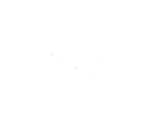 N#Cc1cccc(C(CC=C(F)F)n2cc(-c3ncnc4[nH]ccc34)cn2)c1